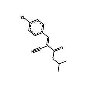 CC(C)OC(=O)/C(C#N)=C/c1ccc(Cl)cc1